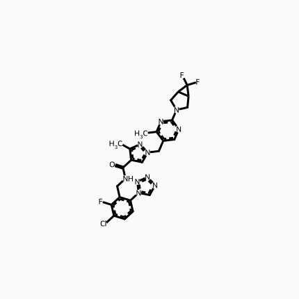 Cc1nc(N2CC3C(C2)C3(F)F)ncc1Cn1cc(C(=O)NCc2c(-n3cnnn3)ccc(Cl)c2F)c(C)n1